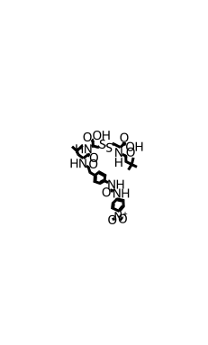 CC(C)CC(NC(=O)Cc1ccc(NC(=O)Nc2ccc([N+](=O)[O-])cc2)cc1)C(=O)NC(CSSCC(NC(=O)CC(C)(C)C)C(=O)O)C(=O)O